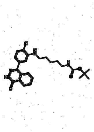 CC(C)(C)OC(=O)NCCCCCNc1cc(-c2n[nH]c(=O)c3ccccc23)ccc1Cl